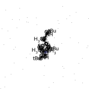 C[n+]1cc(-c2ccc(OC[C@](C)(O/N=C(\C(=O)N[C@@H]3C(=O)N(OS(=O)(=O)O)C3(C)C)c3csc(NC(=O)OC(C)(C)C)n3)C(=O)OC(C)(C)C)cc2)cn1CCCNC(=O)OC(C)(C)C